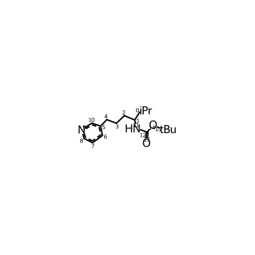 CC(C)C(CCCc1cccnc1)NC(=O)OC(C)(C)C